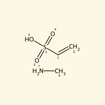 C=CS(=O)(=O)O.CN